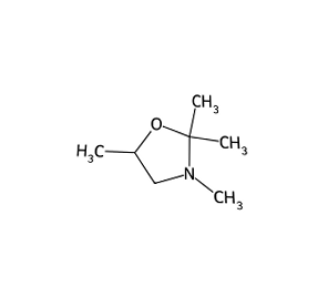 CC1CN(C)C(C)(C)O1